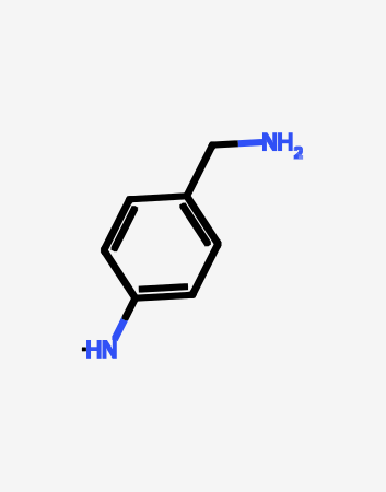 [NH]c1ccc(CN)cc1